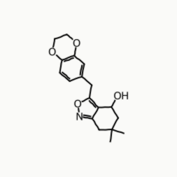 CC1(C)Cc2noc(Cc3ccc4c(c3)OCCO4)c2C(O)C1